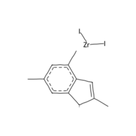 CC1=Cc2c(C)cc(C)cc2[CH]1.[I][Zr][I]